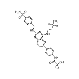 CS(=O)(=O)CCNc1nc(NCc2ccc(S(N)(=O)=O)cc2)nc2ccc(-c3ccc(NC(=O)C4(O)CC4)cc3)nc12